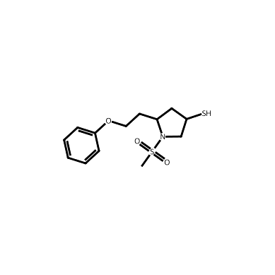 CS(=O)(=O)N1CC(S)CC1CCOc1ccccc1